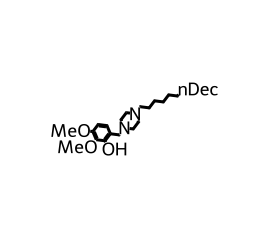 CCCCCCCCCCCCCCCCN1CCN(Cc2ccc(OC)c(OC)c2O)CC1